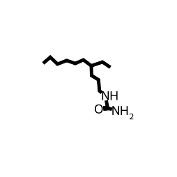 CCCCCCC(CC)CCCNC(N)=O